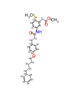 COC(=O)Cc1cc(NC(=O)CCc2ccc(OCCCCCC3C=CC=CC3)cc2)ccc1SC